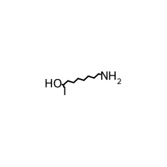 NCCCCCCCC(O)I